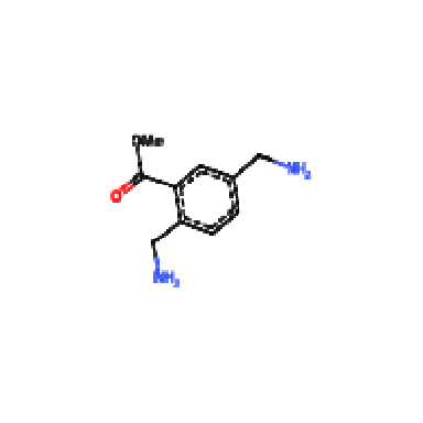 COC(=O)c1cc(CN)ccc1CN